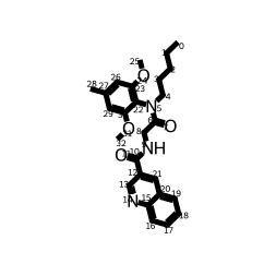 CCCCCN(C(=O)CNC(=O)c1cnc2ccccc2c1)c1c(OC)cc(C)cc1OC